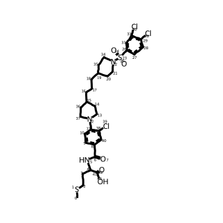 CSCCC(NC(=O)c1ccc(N2CCC(CCCC3CCN(S(=O)(=O)c4ccc(Cl)c(Cl)c4)CC3)CC2)c(Cl)c1)C(=O)O